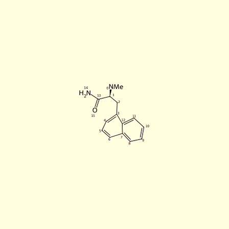 CN[C@@H](Cc1cccc2ccccc12)C(N)=O